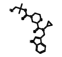 [2H]CC(C)(C)OC(=O)N1CCOC(C(=O)N(Cc2c[nH]c3ccccc23)C2CC2)C1